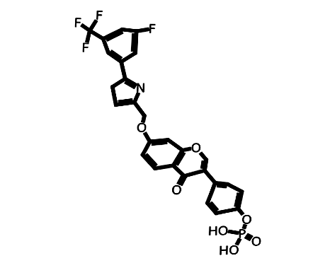 O=c1c(-c2ccc(OP(=O)(O)O)cc2)coc2cc(OCC3=CCC(c4cc(F)cc(C(F)(F)F)c4)=N3)ccc12